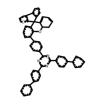 C1=CCC2Oc3c(-c4ccc(-c5nc(-c6ccc(-c7ccccc7)cc6)nc(-c6ccc(-c7ccccc7)cc6)n5)cc4)cccc3C3(C2=C1)c1ccccc1-c1ccccc13